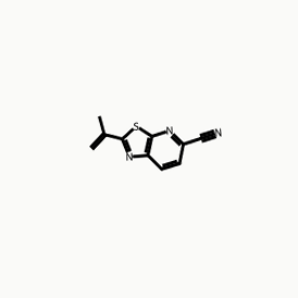 C=C(C)c1nc2ccc(C#N)nc2s1